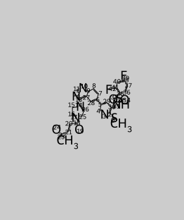 CSc1ncc(-c2ccc3ncnc(N4CCN(C(=O)/C=C/C(C)=O)CC4)c3c2)cc1NS(=O)(=O)c1ccc(F)cc1F